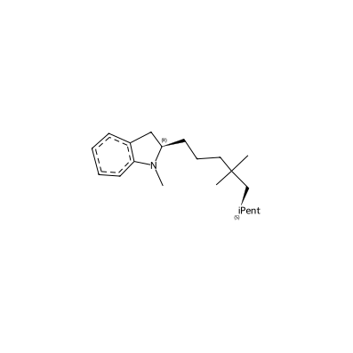 CCC[C@H](C)CC(C)(C)CCC[C@@H]1Cc2ccccc2N1C